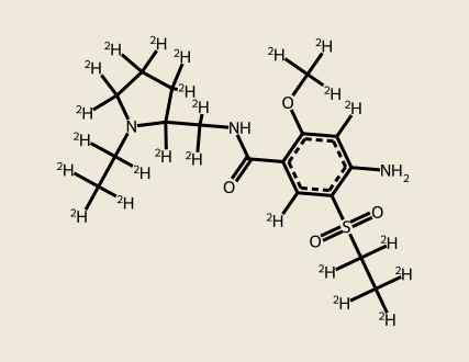 [2H]c1c(N)c(S(=O)(=O)C([2H])([2H])C([2H])([2H])[2H])c([2H])c(C(=O)NC([2H])([2H])C2([2H])N(C([2H])([2H])C([2H])([2H])[2H])C([2H])([2H])C([2H])([2H])C2([2H])[2H])c1OC([2H])([2H])[2H]